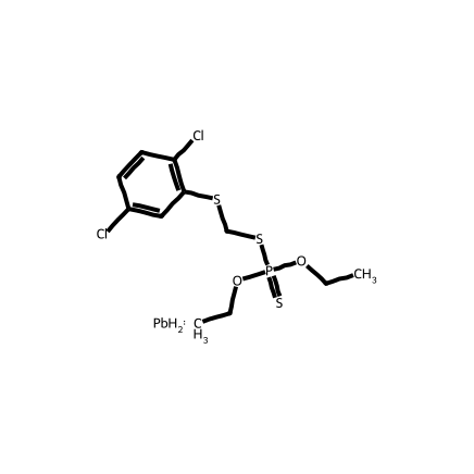 CCOP(=S)(OCC)SCSc1cc(Cl)ccc1Cl.[PbH2]